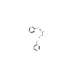 CC(Cc1ccccc1)(C(=O)O)C1OCOC1COCc1ccccc1